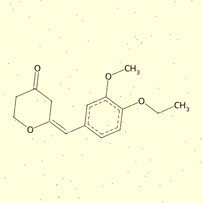 CCOc1ccc(C=C2CC(=O)CCO2)cc1OC